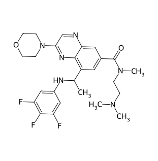 CC(Nc1cc(F)c(F)c(F)c1)c1cc(C(=O)N(C)CCN(C)C)cc2ncc(N3CCOCC3)nc12